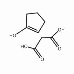 O=C(O)CC(=O)O.OC1=CCCC1